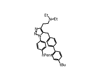 CCCCCc1ccc(-n2nnc(CCN(CC)CC)c2Cc2ccc(-c3ccc(C(C)(C)C)cc3)cc2)cc1